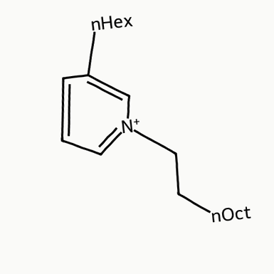 CCCCCCCCCC[n+]1cccc(CCCCCC)c1